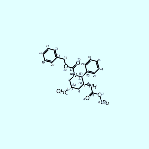 CC(C)(C)OC(=O)N[C@H]1C[C@H](C=O)CN(C(=O)OCc2ccccc2)[C@H]1c1ccccc1